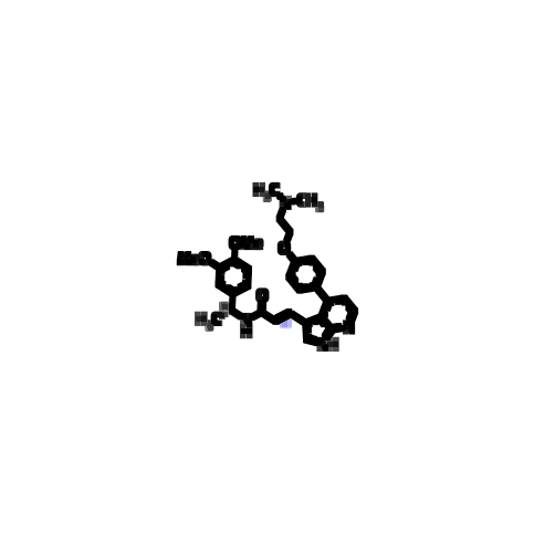 COc1ccc([C@@H](C)NC(=O)/C=C/c2c[nH]c3nccc(-c4ccc(OCCN(C)C)cc4)c23)cc1OC